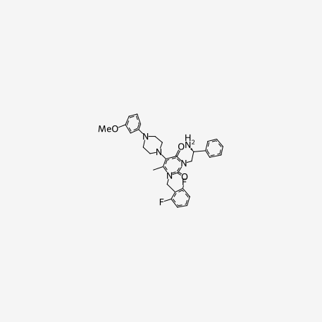 COc1cccc(N2CCN(c3c(C)n(Cc4c(F)cccc4F)c(=O)n(C[C@@H](N)c4ccccc4)c3=O)CC2)c1